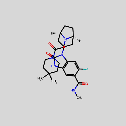 CNC(=O)c1cc2[nH]c(=O)n(C3C[C@H]4CC[C@@H](C3)N4CC(=O)N3CCC(C)(C)CC3)c2cc1F